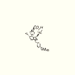 COc1ccc(Cn2nc(C#C[Si](C)(C)C)c3c(N4CCN(C(=O)O)CC4)c(C4CC4)cnc32)cc1